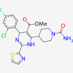 COC(=O)C1=C(C2CCN(C(N)=O)CC2)NC(c2nccs2)=NC1c1ccc(F)cc1Cl